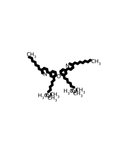 CCCCCCCCc1ccc(-c2ccc(Oc3ccc(-c4ccc(CCCCCCCC)cn4)cc3CCCCCC[Si](C)(C)C)c(CCCCCC[Si](C)(C)C)c2)nc1